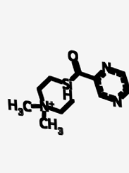 C[N+]1(C)CC[SiH](C(=O)c2cnccn2)CC1